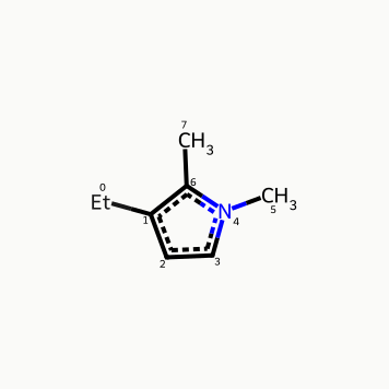 CCc1ccn(C)c1C